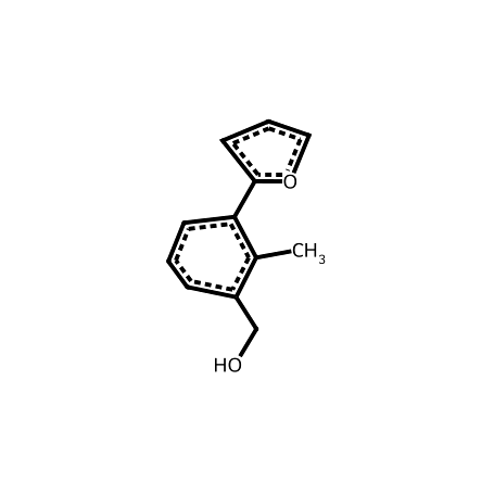 Cc1c(CO)cccc1-c1ccco1